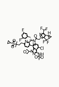 CC(C)(CCc1ccc(-c2ccc(Cl)c3c(NS(C)(=O)=O)nn(C4COC4)c23)c([C@H](Cc2cc(F)cc(F)c2)NC(=O)Cn2nc(C(F)F)c3c2C(F)(F)C2C[C@H]32)n1)S(=O)(=O)C1CC1